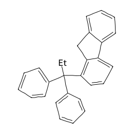 CCC(c1ccccc1)(c1ccccc1)c1cccc2c1Cc1ccccc1-2